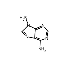 Bn1cnc2c(N)ncnc21